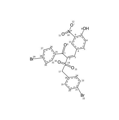 O=C(/C(=C\c1ccc(O)c([N+](=O)[O-])c1)S(=O)(=O)Cc1ccc(Br)cc1)c1ccc(Br)cc1